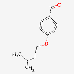 CC(C)CCOc1ccc([C]=O)cc1